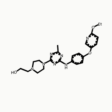 CCOc1ccc(Oc2ccc(Nc3nc(C)nc(N4CCN(CCO)CC4)n3)cc2)cn1